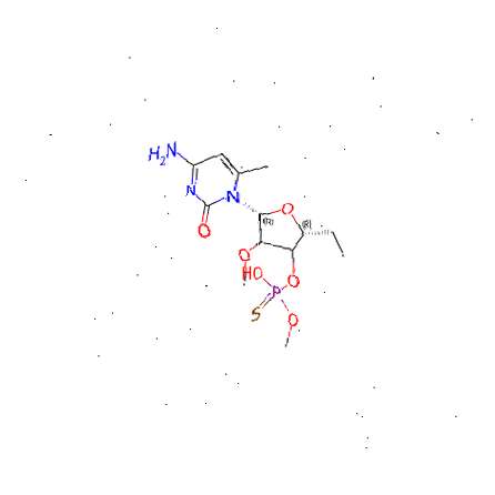 CC[C@H]1O[C@@H](n2c(C)cc(N)nc2=O)C(OC)C1OP(O)(=S)OC